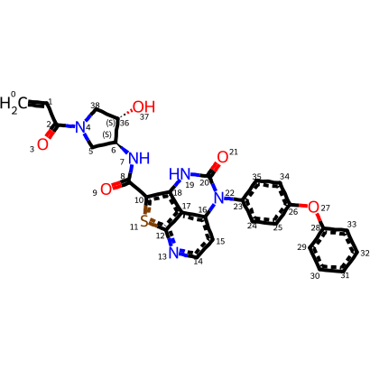 C=CC(=O)N1C[C@H](NC(=O)c2sc3nccc4c3c2NC(=O)N4c2ccc(Oc3ccccc3)cc2)[C@@H](O)C1